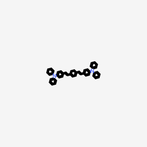 C1=CC(N(c2ccccc2)c2ccc(/C=C/C3=CC=C(/C=C/c4ccc(N(C5=CCCC=C5)c5ccccc5)cc4)CC3)cc2)=CCC1